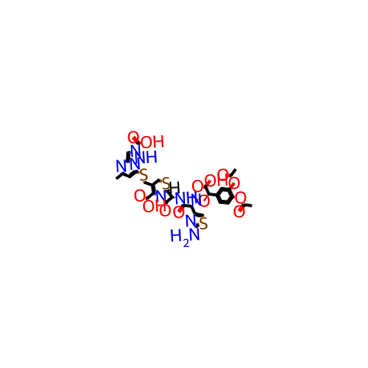 CC(=O)Oc1ccc([C@@H](ON=C(C(=O)N[C@@H]2C(=O)N3C(C(=O)O)=C(CSC4=CC(C)=NC5=CN(C(=O)O)NN54)CS[C@H]23)c2csc(N)n2)C(=O)O)cc1OC(C)=O